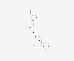 COc1cc(/C=C2\CCCN3C2=NOC32CCc3c(F)cccc32)ccc1-n1cnc(C)c1